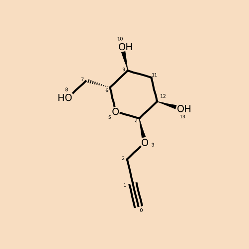 C#CCO[C@H]1O[C@H](CO)[C@@H](O)C[C@H]1O